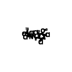 COc1c(Cl)cc(Cl)c(CN=NC(Cl)(Cl)C(C)=O)c1Cl